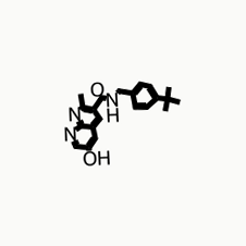 Cc1nc2ncc(O)cc2cc1C(=O)NCc1ccc(C(C)(C)C)cc1